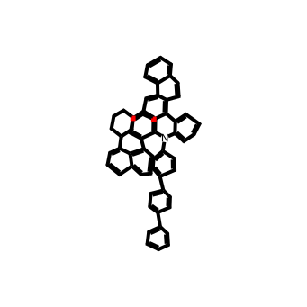 c1ccc(-c2ccc(-c3ccc(N(c4ccccc4-c4cccc5c4ccc4ccccc45)c4ccccc4-c4cccc5cccc(C6CCCCC6)c45)cc3)cc2)cc1